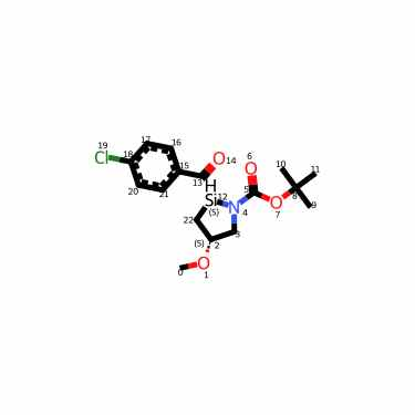 CO[C@H]1CN(C(=O)OC(C)(C)C)[Si@H](C(=O)c2ccc(Cl)cc2)C1